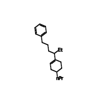 CCCC1CC=C(C(CC)CCCc2ccccc2)CC1